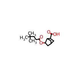 CC(C)(C)CCC(=O)OC1CC2CC(C(=O)O)C1C2